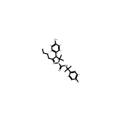 CCCCC1=NN(C(=O)NC(C)(C)c2ccc(F)cc2)C(C)(C)C1c1ccc(F)cc1